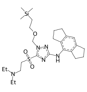 CCN(CC)CCS(=O)(=O)c1nc(Nc2c3c(cc4c2CCC4)CCC3)nn1COCC[Si](C)(C)C